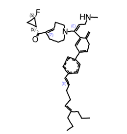 C=C1CC=C(c2ccc(/C=C/CCC=C(CCC)CCC)cc2)C=C1/C(=C\CNC)N1CC/C=C(\C(=O)[C@@H]2C[C@@H]2F)CCC1